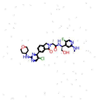 CNc1cc([C@@H](CO)NC(=O)[C@@H](C)N2Cc3ccc(-c4nc(NC5CCOCC5)ncc4Cl)cc3C2=O)c(F)cn1